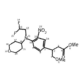 COCC(CC(=O)OC)c1ccc(N(CC(F)F)C2CCOCC2)c([N+](=O)[O-])c1